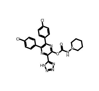 O=C(NN1CCCCC1)Oc1nc(-c2ccc(Cl)cc2)c(-c2ccc(Cl)cc2)nc1-c1nnn[nH]1